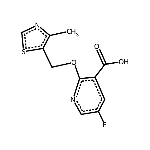 Cc1ncsc1COc1ncc(F)cc1C(=O)O